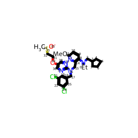 CCN(CC1CCCC1)c1ccc(OC)nc1CN(Cc1cc(Cl)cc(Cl)c1)c1ncc(OCC[S+](C)[O-])cn1